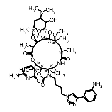 CC[C@H]1OC(=O)C(C)C(=O)[C@H](C)[C@@H](O[C@@H]2O[C@H](C)CC(N(C)C)C2O)[C@](C)(OC)C[C@@H](C)C(=O)N[C@H](C)[C@H]2N(CCCCn3cc(-c4cccc(N)c4)nn3)C(=O)O[C@]12n1ccc(N)nc1=O